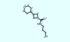 CC(C)CCCNC(=O)N1CC(C2CCOCC2)C1